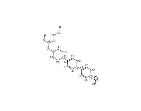 CCCCC(CC)CC1CCC(c2ccc(-c3ccc(OC)cc3)cc2)CC1